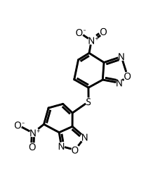 O=[N+]([O-])c1ccc(Sc2ccc([N+](=O)[O-])c3nonc23)c2nonc12